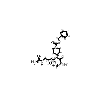 CC(C)[C@H](N)C(=O)N(C1CCN(C(=O)OCc2ccccc2)CC1)[C@@H](CCCNC(N)=O)C(=O)O